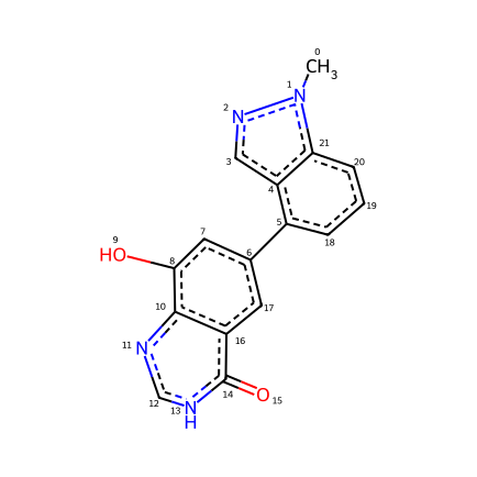 Cn1ncc2c(-c3cc(O)c4nc[nH]c(=O)c4c3)cccc21